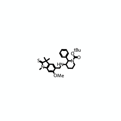 COc1cc2c(cc1CNC1CCCN(C(=O)OC(C)(C)C)C1c1ccccc1)C(C)(C)C(=S)N2C